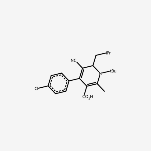 CC1=C(C(=O)O)C(c2ccc(Cl)cc2)=C(C#N)C(CC(C)C)N1C(C)(C)C